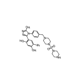 CC(C)c1cc(-c2nnc(O)n2-c2ccc(CN3CCN(S(=O)(=O)N4CCNCC4)CC3)cc2)c(O)cc1O